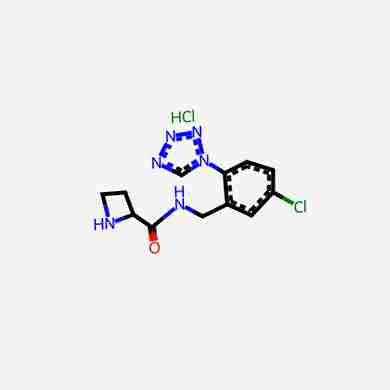 Cl.O=C(NCc1cc(Cl)ccc1-n1cnnn1)C1CCN1